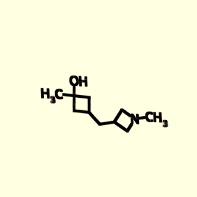 CN1CC(CC2CC(C)(O)C2)C1